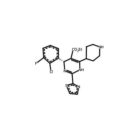 CCOC(=O)C1=C(C2CCNCC2)NC(c2nccs2)=N[C@@H]1c1cccc(F)c1Cl